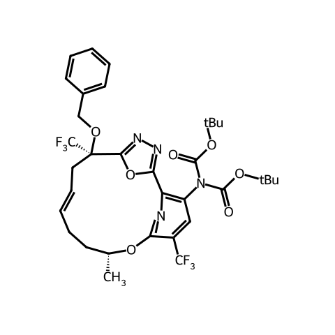 C[C@@H]1CC/C=C/C[C@](OCc2ccccc2)(C(F)(F)F)c2nnc(o2)-c2nc(c(C(F)(F)F)cc2N(C(=O)OC(C)(C)C)C(=O)OC(C)(C)C)O1